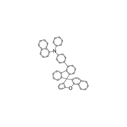 c1ccc(N(c2ccc(-c3cccc4c3-c3ccccc3C43c4ccccc4Oc4c3ccc3ccccc43)cc2)c2cccc3ccccc23)cc1